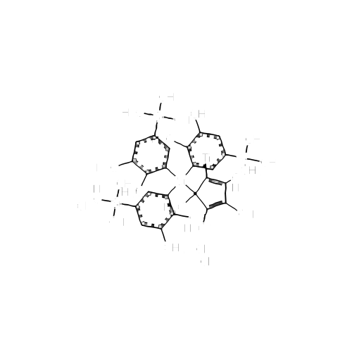 CC1=C(C)C(C)([Si](c2cc([Si](C)(C)C)cc(C)c2C)(c2cc([Si](C)(C)C)cc(C)c2C)c2cc([Si](C)(C)C)cc(C)c2C)[C]([Ti+3])=C1C.[Cl-].[Cl-].[Cl-]